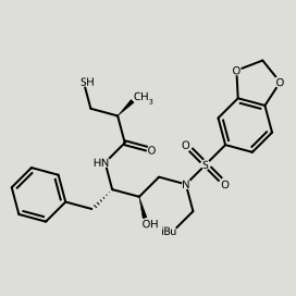 CCC(C)CN(C[C@@H](O)[C@H](Cc1ccccc1)NC(=O)[C@H](C)CS)S(=O)(=O)c1ccc2c(c1)OCO2